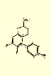 CCCCCCCCC1CCc2c(cc(F)c(F)c2-c2ccc(O)cc2)C1